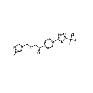 Cn1cc(COCC(=O)c2ccc(-c3noc(C(F)(F)Cl)n3)cc2)cn1